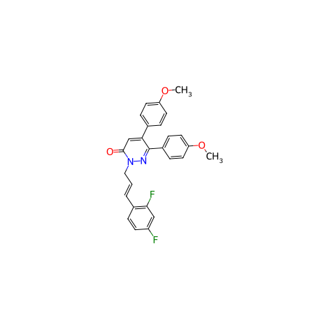 COc1ccc(-c2cc(=O)n(CC=Cc3ccc(F)cc3F)nc2-c2ccc(OC)cc2)cc1